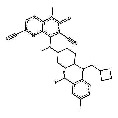 CN(c1c(C#N)c(=O)n(C)c2ccc(C#N)nc12)C1CCC(N(CC2CCC2)c2ccc(F)cc2C(F)F)CC1